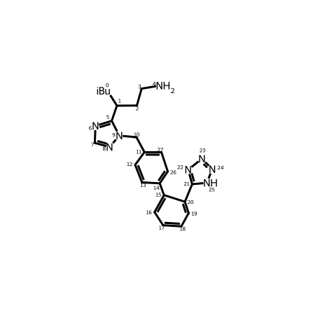 CCC(C)C(CCN)c1ncnn1Cc1ccc(-c2ccccc2-c2nnn[nH]2)cc1